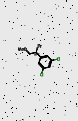 COC[C@H](c1cc(Cl)cc(Cl)c1)C(C)C